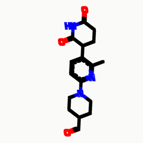 Cc1nc(N2CCC(C=O)CC2)ccc1C1CCC(=O)NC1=O